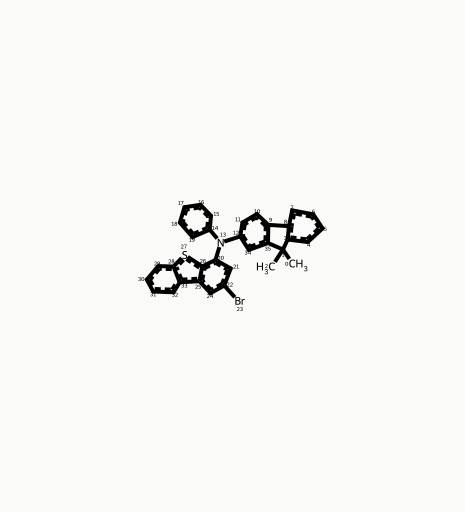 CC1(C)c2ccccc2-c2ccc(N(c3ccccc3)c3cc(Br)cc4c3sc3ccccc34)cc21